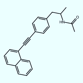 CC(=O)NC(C)Cc1ccc(C#Cc2cccc3ccccc23)cc1